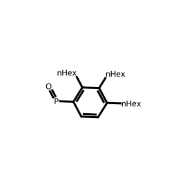 CCCCCCc1ccc(P=O)c(CCCCCC)c1CCCCCC